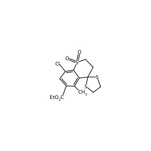 CCOC(=O)c1cc(Cl)c2c(c1C)C1(CCS2(=O)=O)SCCS1